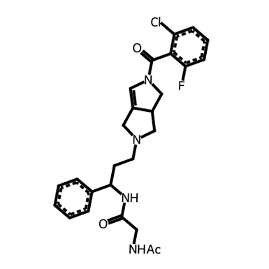 CC(=O)NCC(=O)NC(CCN1CC2=CN(C(=O)c3c(F)cccc3Cl)CC2C1)c1ccccc1